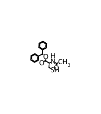 CC(=O)N[C@@H](CS)C(=O)OC(c1ccccc1)c1ccccc1